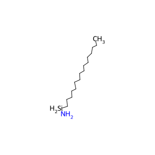 CCCCCCCCCCCCCCCC[SiH2]N